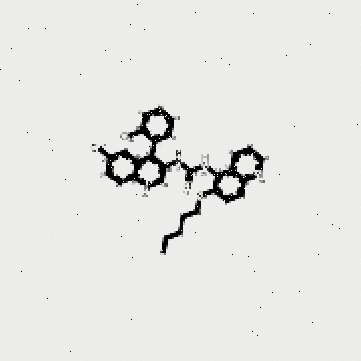 CCCCCSc1ccc2ncccc2c1NC(=O)Nc1cnc2ccc(Cl)cc2c1-c1ccccc1Cl